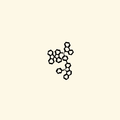 c1ccc(-n2c3cc(-c4ccc(N(c5cccc6c5-c5ccccc5C65c6ccccc6-c6ccccc65)c5cc6ccccc6c6ccccc56)cc4)ccc3c3ccc4ccccc4c32)cc1